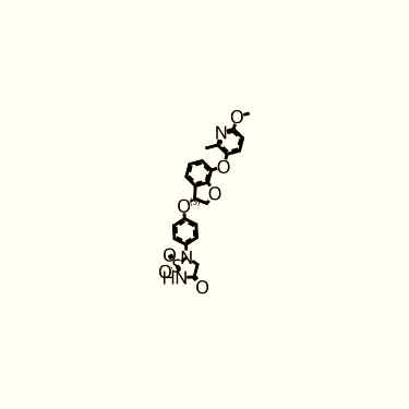 COc1ccc(Oc2cccc3c2OC[C@H]3Oc2ccc(N3CC(=O)NS3(=O)=O)cc2)c(C)n1